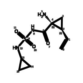 C=C[C@@H]1C[C@]1(N)C(=O)NS(=O)(=O)NC1CC1